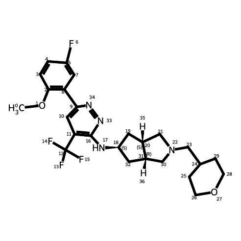 COc1ccc(F)cc1-c1cc(C(F)(F)F)c(N[C@H]2C[C@@H]3CN(CC4CCOCC4)C[C@@H]3C2)nn1